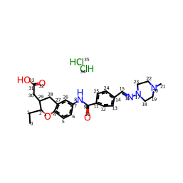 CCC1Oc2ccc(NC(=O)c3ccc(C=NN4CCN(C)CC4)cc3)cc2CC1CC(=O)O.Cl.Cl